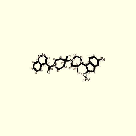 CCOC1Cc2cc(Br)ccc2C1N1CCN(C2(C)CCN(C(=O)c3cnnc4ccccc34)CC2)C[C@@H]1C